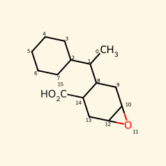 CC(C1CCCCC1)C1CC2OC2CC1C(=O)O